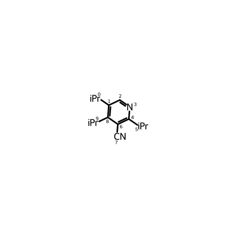 CC(C)c1cnc(C(C)C)c(C#N)c1C(C)C